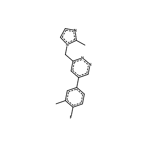 Cc1cc(-c2cnnc(Cn3ccnc3C)c2)ccc1F